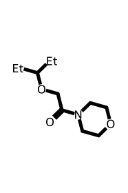 CCC(CC)OCC(=O)N1CCOCC1